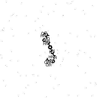 COC(=O)N[C@H](C(=O)N1CCC[C@H]1c1ncc(-c2ccc(-c3ncc(-c4cnc([C@@H]5CCCN5C[C@@H](NC(=O)O)C(C)C)[nH]4)cn3)cc2)[nH]1)C(C)C